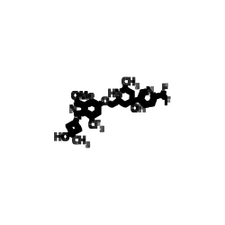 COc1nn(C2CC(C)(O)C2)c2c(C(F)(F)F)cc(OCC3CC(O)(c4ccc(C(F)F)nc4)CC(C)N3)cc12